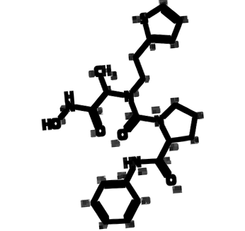 CC(C(=O)NO)N(CCc1cccs1)C(=O)N1CCCC1C(=O)Nc1ccccc1